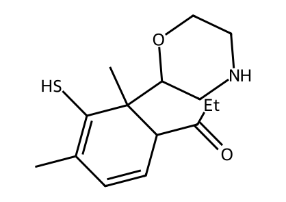 CCC(=O)C1C=CC(C)=C(S)C1(C)C1CNCCO1